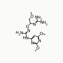 COCC(N=C(N)N)ON=C(N)Nc1cc(OC)nc(OC)n1